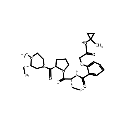 CC(C)C[C@H]1CN(C(=O)[C@H]2CCCN2C(=O)[C@@H](CC(C)C)NC(=O)c2ccccc2OCC(=O)NC2(C)CC2)CCN1C